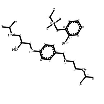 CC(C)NCC(O)COc1ccc(COCCOC(C)C)cc1.CC[N+](C)(C)Cc1ccccc1Br